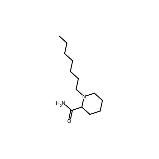 CCCCCCCN1CCCCC1C(N)=O